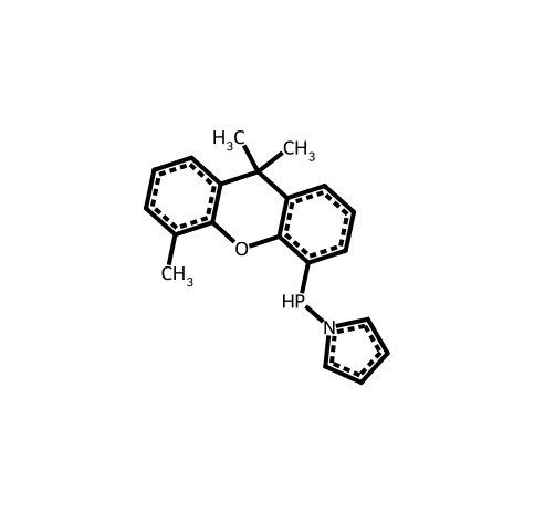 Cc1cccc2c1Oc1c(Pn3cccc3)cccc1C2(C)C